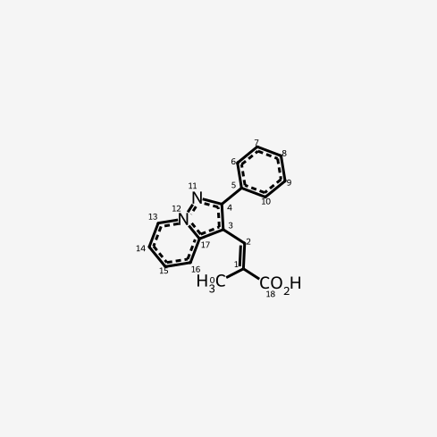 CC(=Cc1c(-c2ccccc2)nn2ccccc12)C(=O)O